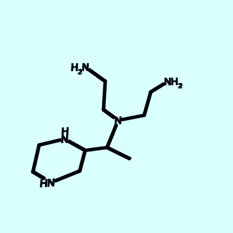 CC(C1CNCCN1)N(CCN)CCN